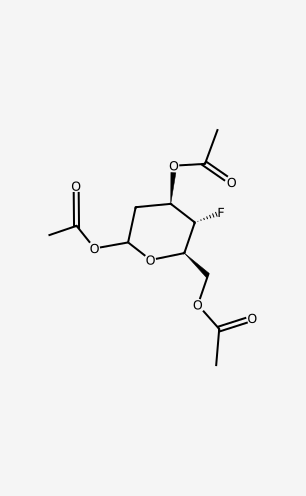 CC(=O)OC[C@H]1OC(OC(C)=O)C[C@@H](OC(C)=O)[C@@H]1F